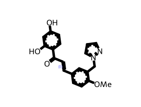 COc1ccc(/C=C/C(=O)c2ccc(O)cc2O)cc1Cn1cccn1